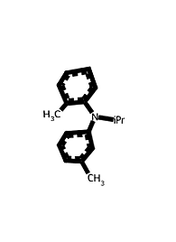 Cc1cccc(N(c2ccccc2C)C(C)C)c1